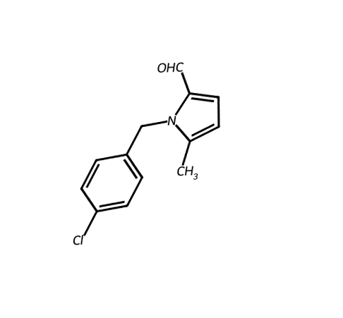 Cc1ccc(C=O)n1Cc1ccc(Cl)cc1